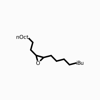 CCCCCCCCCCC1OC1CCCCC(C)CC